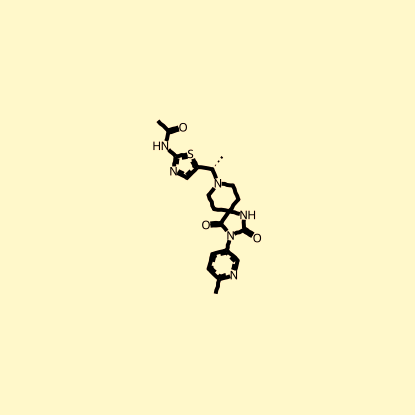 CC(=O)Nc1ncc([C@H](C)N2CCC3(CC2)NC(=O)N(c2ccc(C)nc2)C3=O)s1